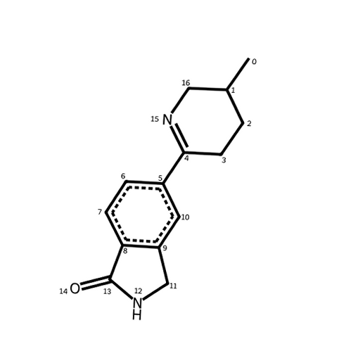 CC1CCC(c2ccc3c(c2)CNC3=O)=NC1